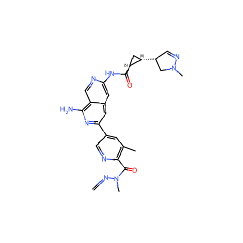 C=NN(C)C(=O)c1ncc(-c2cc3cc(NC(=O)[C@H]4C[C@@H]4C4C=NN(C)C4)ncc3c(N)n2)cc1C